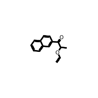 C=COC(C)C(=O)c1ccc2ccccc2c1